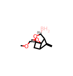 B[C@@H]1O[C@@]2(COC)CC3C(=C)C1C32OC